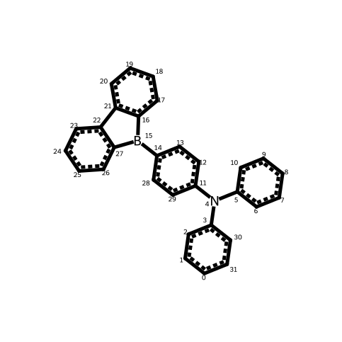 c1ccc(N(c2ccccc2)c2ccc(B3c4ccccc4-c4ccccc43)cc2)cc1